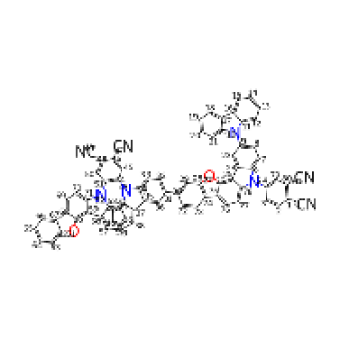 N#Cc1ccc(-n2c3ccc(-n4c5ccccc5c5ccccc54)cc3c3c4oc5cc(-c6ccc7c(c6)c6ccccc6n7-c6cc(C#N)c(C#N)cc6-n6c7ccccc7c7c8oc9ccccc9c8ccc76)ccc5c4ccc32)cc1C#N